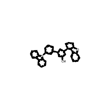 N#Cc1cc(-c2cccc(-n3c4ccccc4c4ccccc43)c2)cc(-c2cccc3oc4ccccc4c23)c1